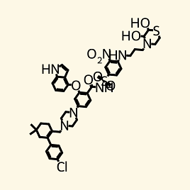 CC1(C)CCC(CN2CCN(c3ccc(C(=O)NS(=O)(=O)c4ccc(NCCCN5CCSC(O)C5O)c([N+](=O)[O-])c4)c(Oc4cccc5[nH]ccc45)c3)CC2)=C(c2ccc(Cl)cc2)C1